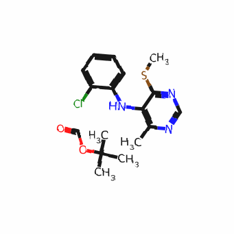 CC(C)(C)OC=O.CSc1ncnc(C)c1Nc1ccccc1Cl